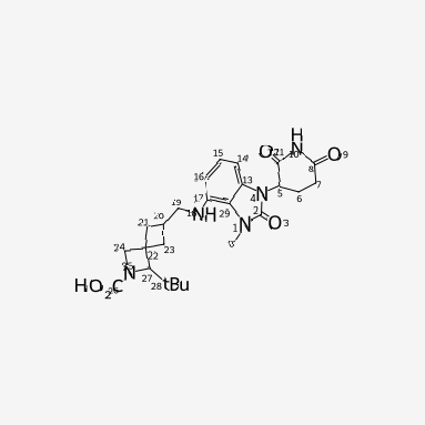 Cn1c(=O)n(C2CCC(=O)NC2=O)c2cccc(NCC3CC4(C3)CN(C(=O)O)C4C(C)(C)C)c21